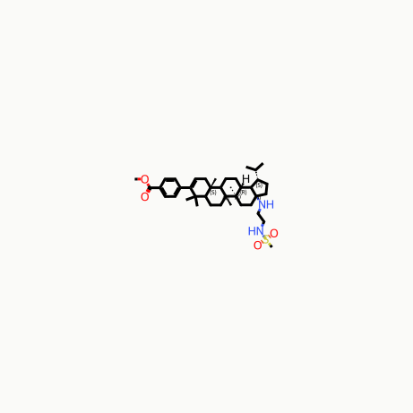 COC(=O)c1ccc(C2=CC[C@@]3(C)C(CC[C@]4(C)C3CC[C@@H]3C5[C@H](C(C)C)CC[C@]5(NCCNS(C)(=O)=O)CC[C@]34C)C2(C)C)cc1